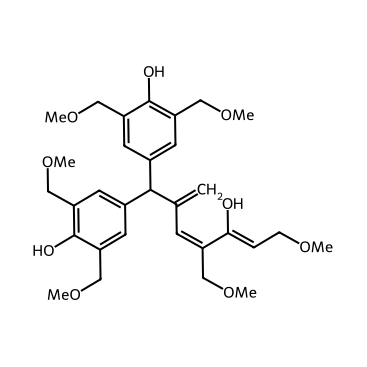 C=C(/C=C(COC)\C(O)=C\COC)C(c1cc(COC)c(O)c(COC)c1)c1cc(COC)c(O)c(COC)c1